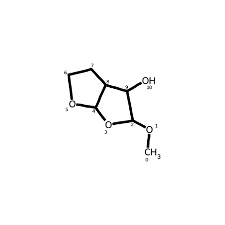 COC1OC2OCCC2C1O